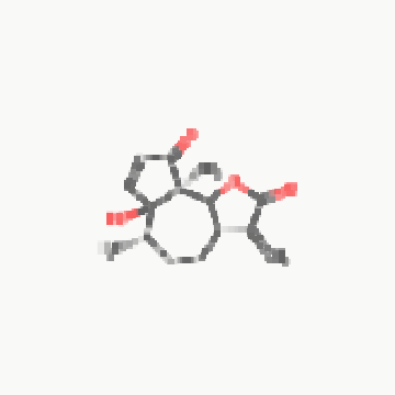 C=C1C(=O)OC2C1CC[C@H](C)[C@]1(O)C=CC(=O)[C@@]21C